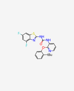 CC(C)(C)c1ccccc1Oc1ncccc1NC(=O)Nc1nc2c(F)cc(F)cc2s1